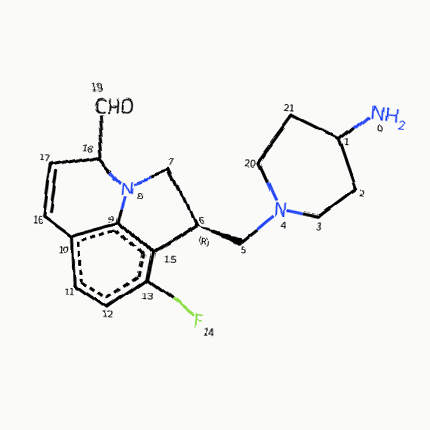 NC1CCN(C[C@@H]2CN3c4c(ccc(F)c42)C=CC3C=O)CC1